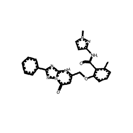 Cc1cccc(OCc2cc(=O)n3nc(-c4ccccc4)nc3[nH]2)c1C(=O)Nc1ccn(C)n1